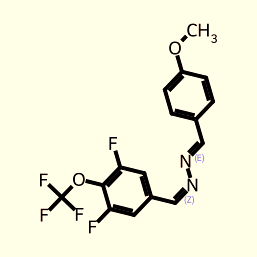 COc1ccc(/C=N/N=C\c2cc(F)c(OC(F)(F)F)c(F)c2)cc1